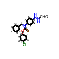 O=CNNc1ccc(N(Cc2ccccc2)C(=S)Oc2ccc(Cl)cc2)cc1